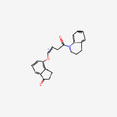 O=C1CCc2c(O/C=C\CC(=O)N3CCCc4ccccc43)cccc21